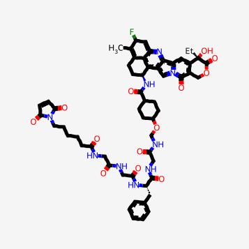 CC[C@@]1(O)C(=O)OCc2c1cc1c3nc4c5c(c3cn1c2=O)[C@@H](NC(=O)C1CCC(OCNC(=O)CNC(=O)[C@H](Cc2ccccc2)NC(=O)CNC(=O)CNC(=O)CCCCCN2C(=O)C=CC2=O)CC1)CCC5=C(C)C(F)C=4